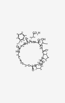 CC(O)C1NC(=O)C2CCCN2C(=O)[C@@H]2CCCN2C(=O)CCSSCCNC(=O)[C@H](Cc2ccccc2)NC(=O)[C@H](CCC(=O)O)NC1=O